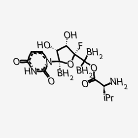 BC(B)(OC(=O)[C@@H](N)C(C)C)[C@@]1(F)O[C@@](B)(n2ccc(=O)[nH]c2=O)[C@H](O)[C@@H]1O